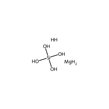 O[Si](O)(O)O.[HH].[MgH2]